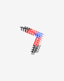 [N-3].[N-3].[N-3].[N-3].[O-2].[O-2].[O-2].[O-2].[O-2].[O-2].[O-2].[O-2].[Ti+4].[Ti+4].[Ti+4].[Ti+4].[Ti+4].[Ti+4].[Ti+4]